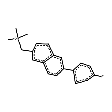 [CH3][Sn]([CH3])([CH3])[CH2]c1ccc2cc(-c3ccc(F)cc3)ccc2c1